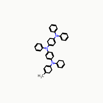 CC1=CC=C(N(C2=CC=CCC2)c2ccc(N(C3=CC=C(N(c4ccccc4)c4ccccc4)CC3)c3ccccc3)cc2)CC1